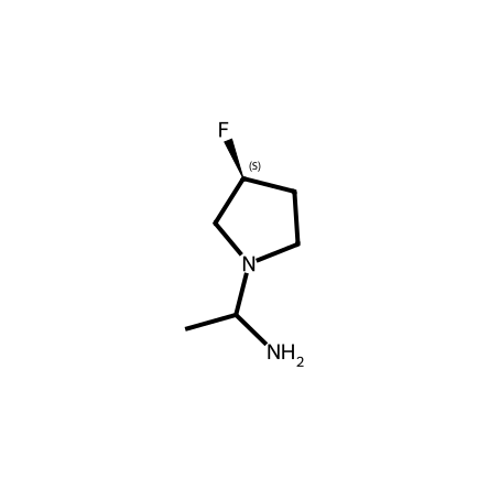 CC(N)N1CC[C@H](F)C1